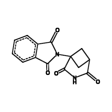 O=C1NC(=O)C2(N3C(=O)c4ccccc4C3=O)CC1C2